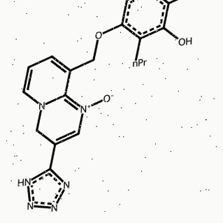 CCCc1c(OCC2=CC=CN3CC(c4nnn[nH]4)=C[N+]([O-])=C23)ccc(C(C)=O)c1O